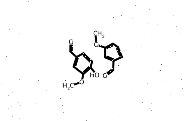 COc1cc(C=O)ccc1O.COc1cccc(C=O)c1